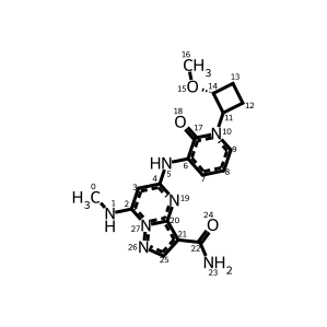 CNc1cc(Nc2cccn(C3CC[C@H]3OC)c2=O)nc2c(C(N)=O)cnn12